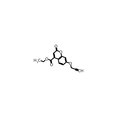 C#CCOc1ccc2c(C(=O)OCC)cc(=O)oc2c1